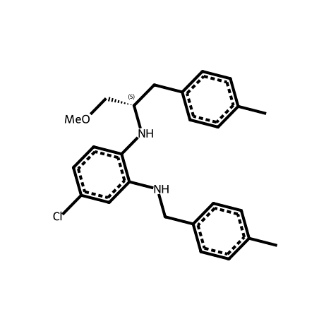 COC[C@H](Cc1ccc(C)cc1)Nc1ccc(Cl)cc1NCc1ccc(C)cc1